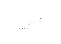 O=C(COc1ccccc1OC(F)(F)F)N1CC[C@@H]2CN(C(=O)c3ccc4[nH]nnc4c3)C[C@@H]2CC1